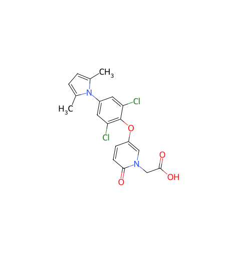 Cc1ccc(C)n1-c1cc(Cl)c(Oc2ccc(=O)n(CC(=O)O)c2)c(Cl)c1